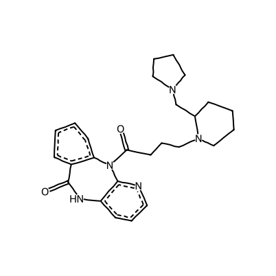 O=C1Nc2cccnc2N(C(=O)CCCN2CCCCC2CN2CCCC2)c2ccccc21